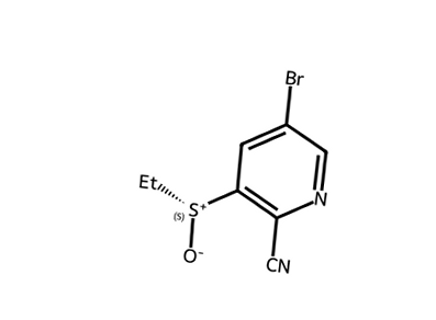 CC[S@@+]([O-])c1cc(Br)cnc1C#N